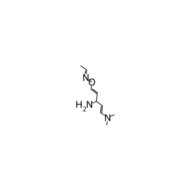 C/C=N/O/C=C/C(N)/C=C/N(C)C